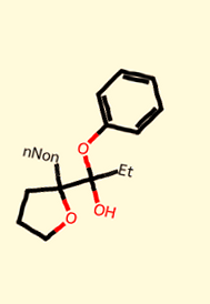 CCCCCCCCCC1(C(O)(CC)Oc2ccccc2)CCCO1